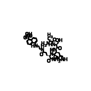 C[C@H](N)C(=O)N[C@@H](CO)C(=O)N[C@@H](Cc1c[nH]cn1)C(=O)N[C@@H](CCC(=O)NCCNc1cccc2c(S(=O)(=O)O)cccc12)C(N)=O